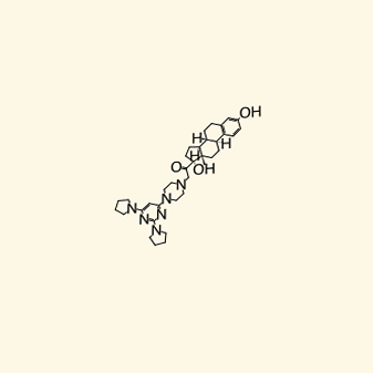 C[C@]12CC[C@@H]3c4ccc(O)cc4CC[C@H]3[C@@H]1CC[C@]2(O)C(=O)CN1CCN(c2cc(N3CCCC3)nc(N3CCCC3)n2)CC1